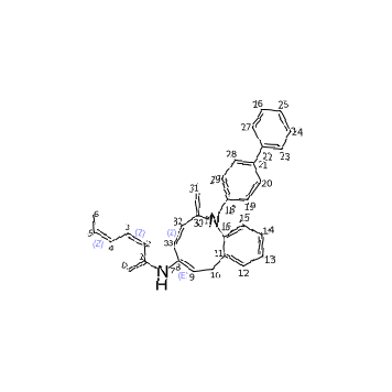 C=C(/C=C\C=C/C)NC1=C/Cc2ccccc2N(c2ccc(-c3ccccc3)cc2)C(=C)/C=C\1